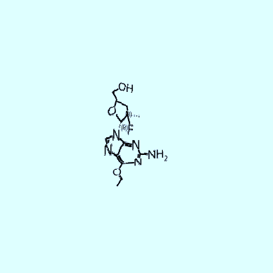 CCOc1nc(N)nc2c1ncn2[C@@H]1OC(CO)C[C@@]1(C)F